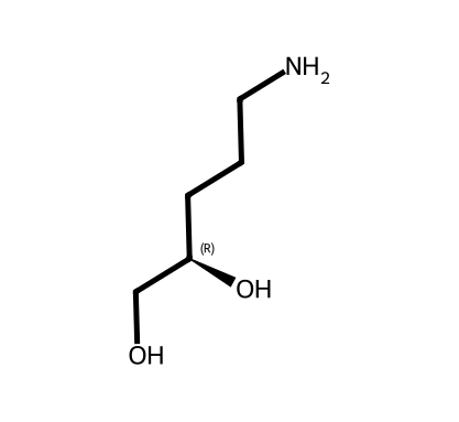 NCCC[C@@H](O)CO